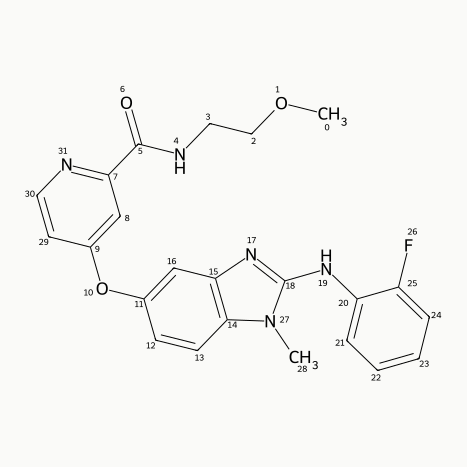 COCCNC(=O)c1cc(Oc2ccc3c(c2)nc(Nc2ccccc2F)n3C)ccn1